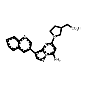 Nc1cc(N2CCC(CC(=O)O)C2)nc2c(-c3cnc4ccccc4c3)cnn12